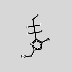 OCn1cc(Br)c(C(F)(F)C(F)(F)CF)n1